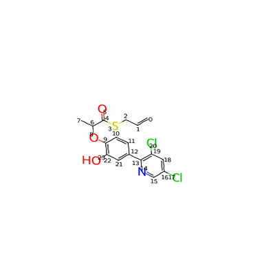 C=CCSC(=O)C(C)Oc1ccc(-c2ncc(Cl)cc2Cl)cc1O